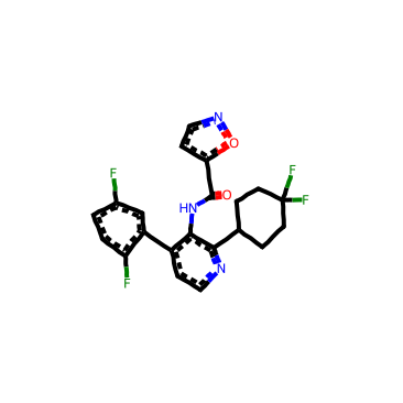 O=C(Nc1c(-c2cc(F)ccc2F)ccnc1C1CCC(F)(F)CC1)c1ccno1